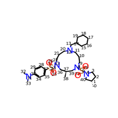 C[C@H]1CCN(S(=O)(=O)N2CCCN(CC3CCCCC3)CCCN(S(=O)(=O)c3ccc(N(C)C)cc3)C[C@H](C)C2)C1